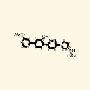 COc1cc(-c2ccc(-c3ccc(N4CC[C@@H](NC(C)(C)C)C4)nn3)c(O)c2)ncn1